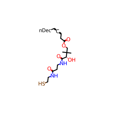 CCCCCCCCCCC=C=CCC(=O)OCC(C)(C)[C@H](O)C(=O)NCCC(=O)NCCS